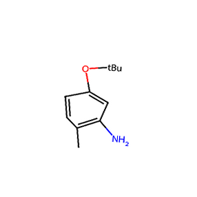 Cc1ccc(OC(C)(C)C)cc1N